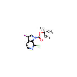 CC(C)(C)OC(=O)n1cc(I)c2ccnc(Cl)c21